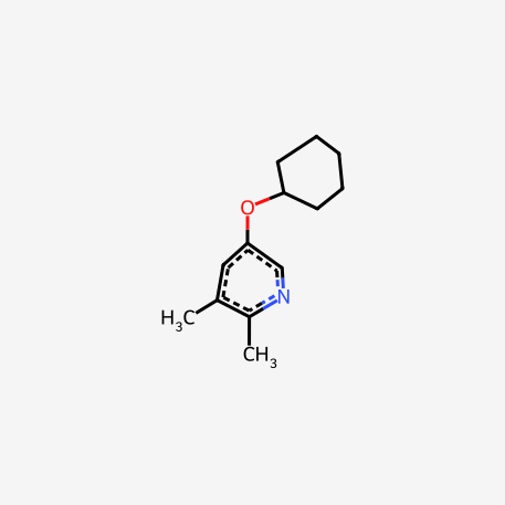 Cc1cc(OC2CCCCC2)cnc1C